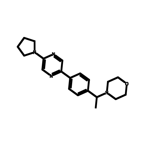 CC(c1ccc(-c2cnc(N3CCCC3)cn2)cc1)N1CCOCC1